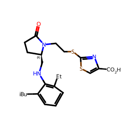 CCc1cccc(C(C)CC)c1NC[C@H]1CCC(=O)N1CCSc1nc(C(=O)O)cs1